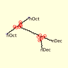 CCCCCCCC/C=C\CCCCCCCC(=O)OCC(COC(=O)CCCCCCC/C=C\CCCCCCCC)OC(=O)CCCCCCCC=CCCCCCCCC(=O)OC(COC(=O)CCCCCCCCCCCCCCCCC)COC(=O)CCCCCCCCCCCCCCCCC